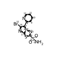 NS(=O)(=O)c1nn2c(-c3ccccn3)c(Br)nc2s1